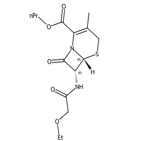 CCCOC(=O)C1=C(C)CS[C@@H]2[C@H](NC(=O)COCC)C(=O)N12